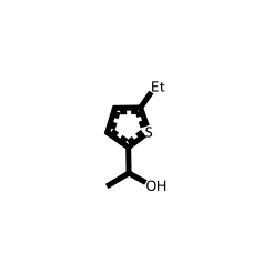 CCc1ccc(C(C)O)s1